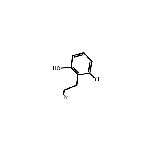 CC(C)CCc1c(O)cccc1Cl